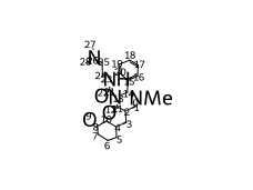 CNC[C@@H](C[C@H]1CCCC(=O)C1)C(=O)N(Cc1ccccc1)C(=O)NCCN(C)C